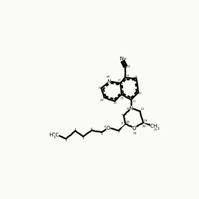 CCCCCCOC[C@H]1CN(c2ccc(C#N)c3ncccc23)C[C@@H](C)O1